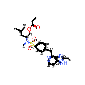 CCC(=O)OC[C@H](CC(C)C)N(C)S(=O)(=O)c1ccc(Cc2nccc3[nH]c(C)nc23)cc1